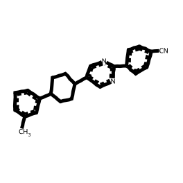 Cc1cccc(C2CCC(c3cnc(-c4ccc(C#N)cc4)nc3)CC2)c1